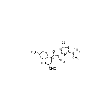 CCc1nc(N(C)C)nc(N(N)C(=O)[C@@H](CN(O)C=O)C2CCC(C)CC2)n1